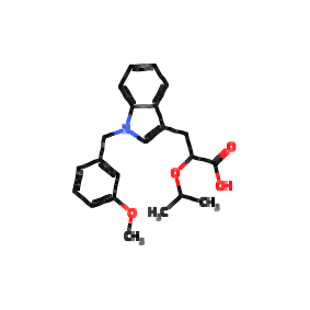 COc1cccc(Cn2cc(CC(OC(C)C)C(=O)O)c3ccccc32)c1